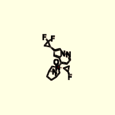 O=C([C@@H]1C[C@H]1F)N1C2CCC1CN(c1ccnn3cc([C@H]4CC4(F)F)cc13)C2